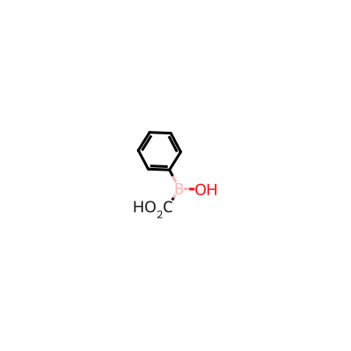 O=C(O)B(O)c1ccccc1